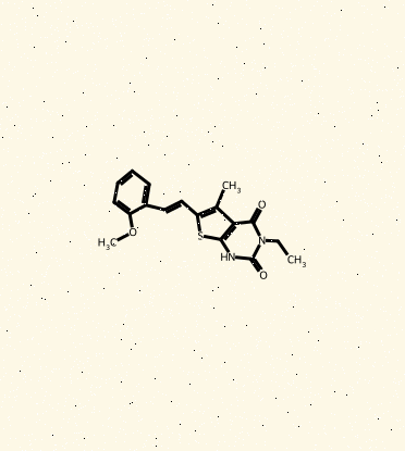 CCn1c(=O)[nH]c2sc(/C=C/c3ccccc3OC)c(C)c2c1=O